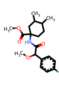 COC(=O)C1(NC(=O)C(OC)c2ccc(Cl)cc2)CCC(C)C(C)C1